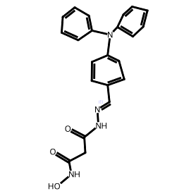 O=C(CC(=O)N/N=C/c1ccc(N(c2ccccc2)c2ccccc2)cc1)NO